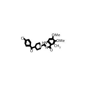 COc1cc2[nH]c(N3CCC(C(=O)c4ccc(Cl)cc4)CC3)nc(=O)c2c(C)c1OC